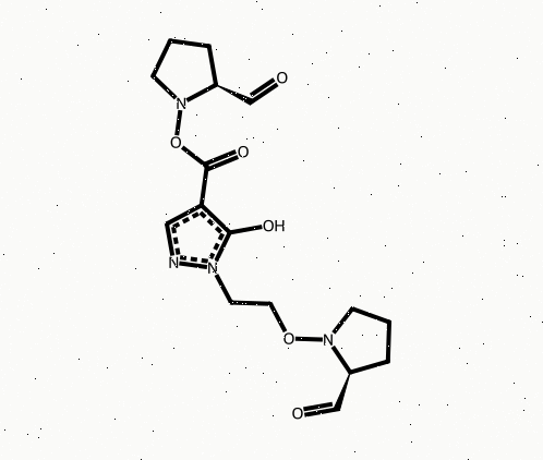 O=C[C@@H]1CCCN1OCCn1ncc(C(=O)ON2CCC[C@H]2C=O)c1O